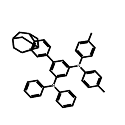 Cc1ccc(N(c2ccc(C)cc2)c2cc(-c3ccc4c(c3)C3CC5CC(CC4C5)C3)cc(N(c3ccccc3)c3ccccc3)c2)cc1